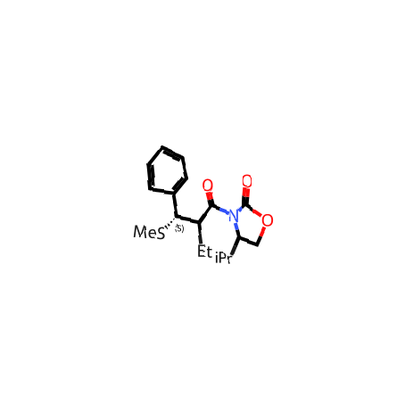 CCC(C(=O)N1C(=O)OCC1C(C)C)[C@H](SC)c1ccccc1